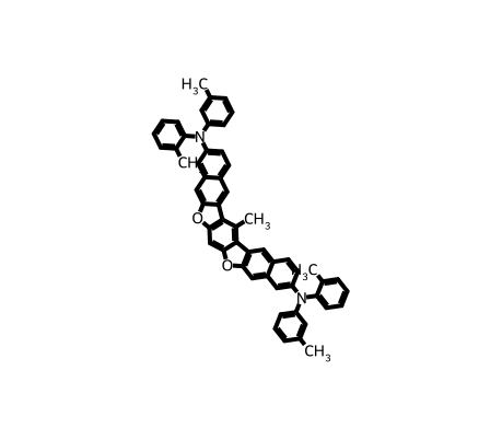 Cc1cccc(N(c2ccc3cc4c(cc3c2)oc2cc3oc5cc6cc(N(c7cccc(C)c7)c7ccccc7C)ccc6cc5c3c(C)c24)c2ccccc2C)c1